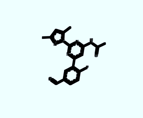 CC(=O)Nc1cc(-c2cc(C=O)ccc2F)nc(-n2nc(C)cc2C)n1